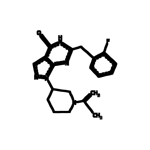 C=C(C)N1CCCC(n2ncc3c(=O)[nH]c(Cc4ccccc4F)nc32)C1